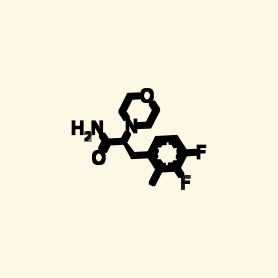 Cc1c(C[C@@H](C(N)=O)N2CCOCC2)ccc(F)c1F